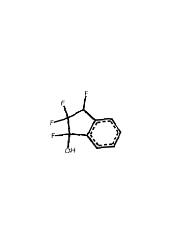 OC1(F)c2ccccc2C(F)C1(F)F